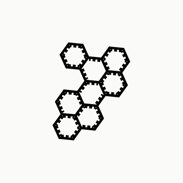 c1cc2ccc3c4ccc5cccc6c7ccccc7c(c7ccc(c1)c2c37)c4c56